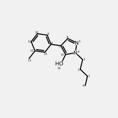 CCCCn1ncc(-c2cccc(C)c2)c1O